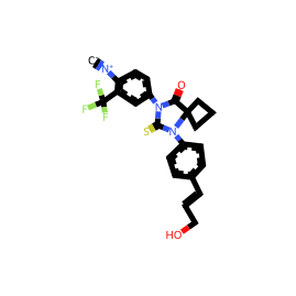 [C-]#[N+]c1ccc(N2C(=O)C3(CCC3)N(c3ccc(/C=C/CO)cc3)C2=S)cc1C(F)(F)F